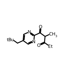 CCC(=O)C(C)C(=O)c1ncc(CC(C)(C)C)cn1